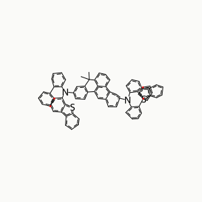 CC1(C)c2cc(N(c3ccccc3-c3ccccc3)c3cccc4c3sc3ccccc34)ccc2-c2cc3ccc(N(c4ccccc4-c4ccccc4)c4cccc5c4sc4ccccc45)cc3c3cccc1c23